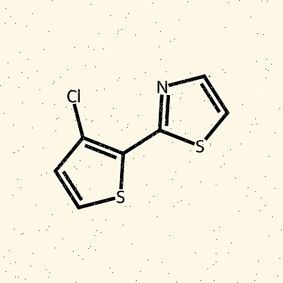 Clc1ccsc1-c1n[c]cs1